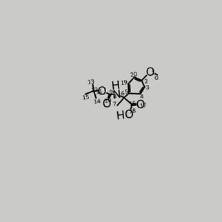 COc1ccc(C(C)(NC(=O)OC(C)(C)C)C(=O)O)cc1